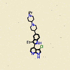 CCc1c(-c2ccnc3[nH]cc(Cl)c23)[nH]c2ccc(C3CCN(C4CCN(C(C)C)CC4)CC3)cc12